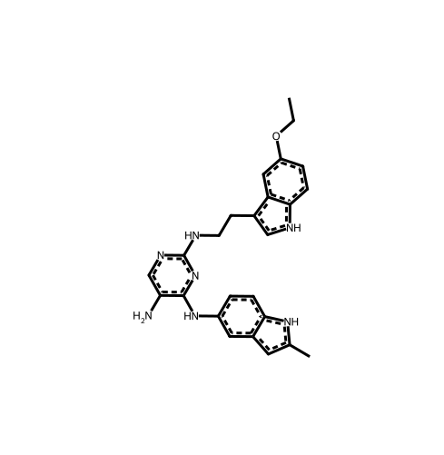 CCOc1ccc2[nH]cc(CCNc3ncc(N)c(Nc4ccc5[nH]c(C)cc5c4)n3)c2c1